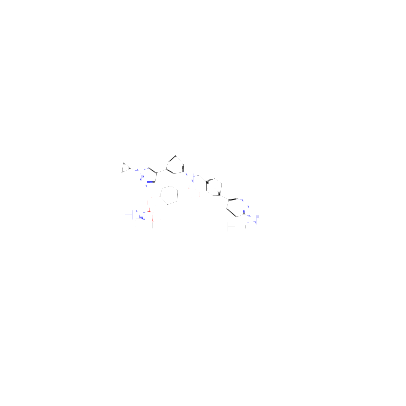 CNC(=O)O[C@H]1CC[C@H](C(=O)N(CC23CCC(c4ccc(N(C)C)nc4)(CC2)CC3)c2cccc(-c3cnn(C4CC4)c3)c2)CC1